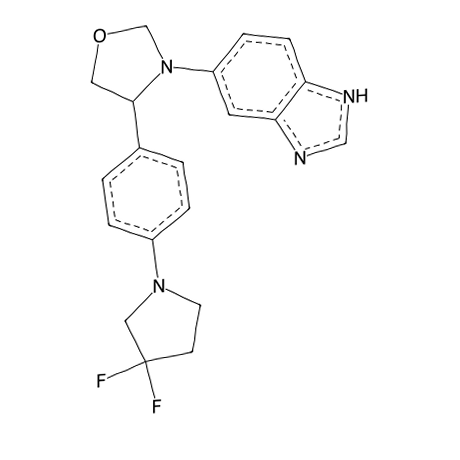 FC1(F)CCN(c2ccc(C3COCN3c3ccc4[nH]cnc4c3)cc2)C1